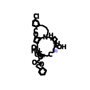 O=C1NS(=O)(=O)[C@H](CCS(=O)(=O)Cc2ccccc2)CC/C=C/[C@H](O)[C@@H]2CC[C@H]2CN2CCCCc3cc(Cl)ccc3COc3ccc1cc32